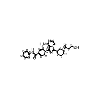 Nc1nccn2c(C3CCCN(C(=O)CCO)C3)nc(C3C=CC(C(=O)Nc4ccccn4)=CC3)c12